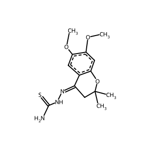 COc1cc2c(cc1OC)C(=NNC(N)=S)CC(C)(C)O2